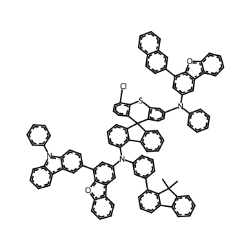 CC1(C)c2ccccc2-c2cccc(-c3cccc(N(c4cc(-c5ccc6c(c5)c5ccccc5n6-c5ccccc5)c5oc6ccccc6c5c4)c4cccc5c4-c4ccccc4C54c5ccc(N(c6ccccc6)c6cc(-c7ccc8ccccc8c7)c7oc8ccccc8c7c6)cc5Sc5c(Cl)cccc54)c3)c21